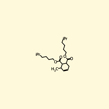 CC(C)CCCCOC(=O)C1CC=CC(C)C1C(=O)OCCCCC(C)C